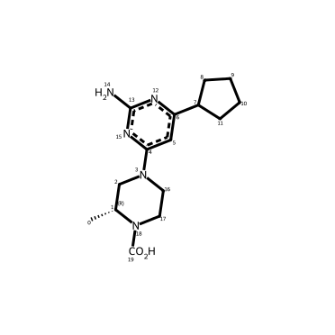 C[C@@H]1CN(c2cc(C3CCCC3)nc(N)n2)CCN1C(=O)O